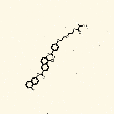 C=C(F)C(=O)OCCOCCOc1ccc(C(=O)Oc2ccc3cc(C(=O)Oc4ccc5c(F)cccc5c4)ccc3c2Cl)cc1